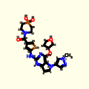 Cn1cc(-n2ccc3nc(Nc4cc(C(=O)N5CCS(=O)(=O)CC5)cs4)nc(O[C@H]4CCOC4)c32)cn1